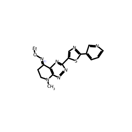 CCO/N=C1\CCN(C)c2nnc(-c3cnc(-c4cccnc4)s3)nc21